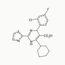 CCOC(=O)C1=C(C2CCCCC2)NC(c2nccs2)=NC1c1ccc(F)cc1Cl